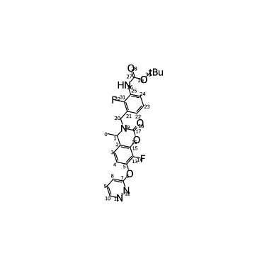 CC1c2ccc(Oc3cccnn3)c(F)c2OC(=O)N1Cc1cccc(NC(=O)OC(C)(C)C)c1F